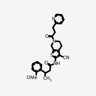 COc1ccccc1C(C)CC(=O)Nc1sc2c(c1C#N)CCN(C(=O)CCc1ccccn1)C2